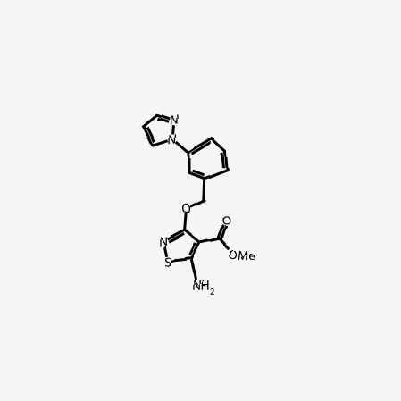 COC(=O)c1c(OCc2cccc(-n3cccn3)c2)nsc1N